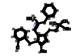 CCCCc1nc(CO[Si](C)(C)C(C)(C)C)c(/C=C(\Cc2ccccc2)C(=O)O)n1Cc1ccccc1Cl